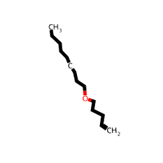 C=CCCCOCCCCCCCCC